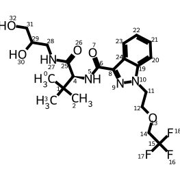 CC(C)(C)[C@H](NC(=O)c1nn(CCOCC(F)(F)F)c2ccccc12)C(=O)NCC(O)CO